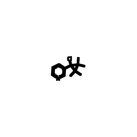 CC1(C)C(C)(C)C1(Cl)c1cccnc1